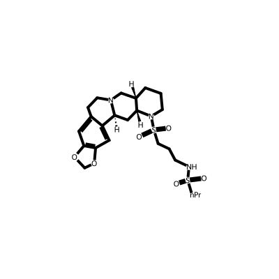 CCCS(=O)(=O)NCCCS(=O)(=O)N1CCC[C@H]2CN3CCc4cc5c(cc4[C@@H]3C[C@H]21)OCO5